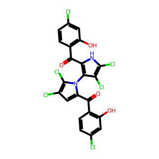 O=C(c1ccc(Cl)cc1O)c1[nH]c(Cl)c(Cl)c1-n1c(C(=O)c2ccc(Cl)cc2O)cc(Cl)c1Cl